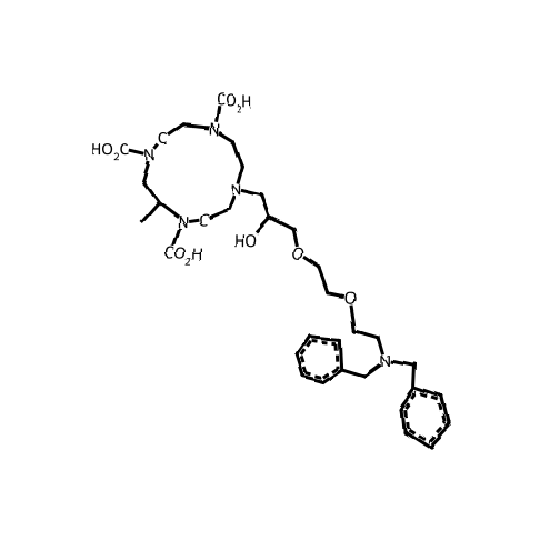 CC1CN(C(=O)O)CCN(C(=O)O)CCN(CC(O)COCCOCCN(Cc2ccccc2)Cc2ccccc2)CCN1C(=O)O